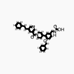 O=C(O)NCc1ccc(OCc2ccccc2)c(C2=CCN(C(=O)c3cncc(CCc4ccccc4)c3)CC2)c1